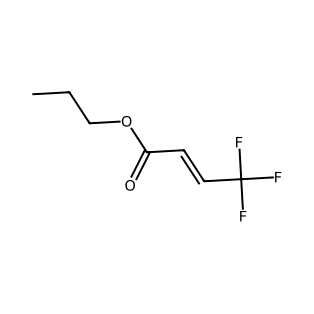 CCCOC(=O)C=CC(F)(F)F